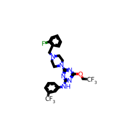 Fc1ccccc1CN1CCN(c2nc(Nc3cccc(C(F)(F)F)c3)nc(OCC(F)(F)F)n2)CC1